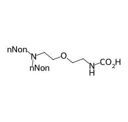 CCCCCCCCCN(CCCCCCCCC)CCOCCNC(=O)O